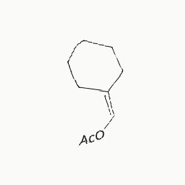 CC(=O)OC=C1CCCCC1